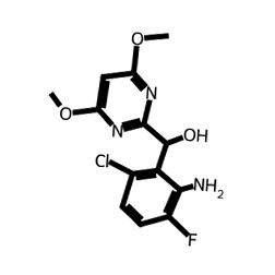 COc1cc(OC)nc(C(O)c2c(Cl)ccc(F)c2N)n1